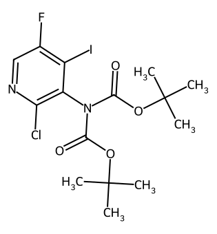 CC(C)(C)OC(=O)N(C(=O)OC(C)(C)C)c1c(Cl)ncc(F)c1I